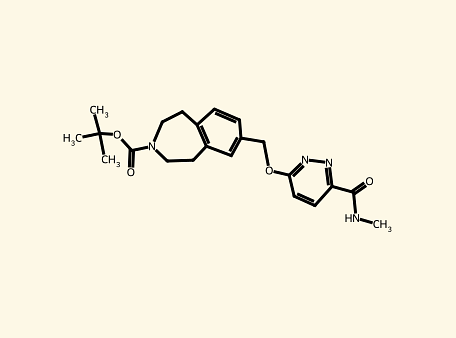 CNC(=O)c1ccc(OCc2ccc3c(c2)CCN(C(=O)OC(C)(C)C)CC3)nn1